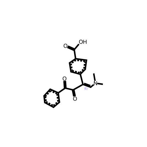 CN(C)/C=C(/C(=O)C(=O)c1ccccc1)c1ccc(C(=O)O)cc1